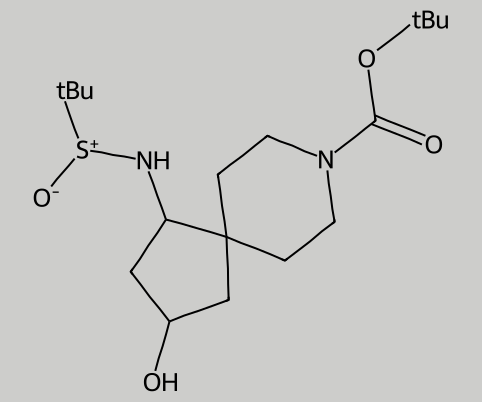 CC(C)(C)OC(=O)N1CCC2(CC1)CC(O)CC2N[S+]([O-])C(C)(C)C